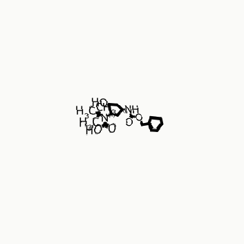 CC(C)(C)N(C(=O)O)[C@@H]1C[C@@H](NC(=O)OCc2ccccc2)CC1O